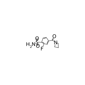 NS(=O)(=O)c1ccc(C(=O)N2CCC2)cc1F